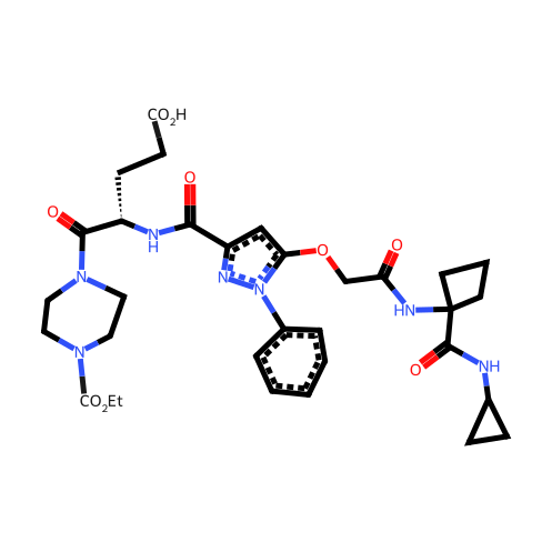 CCOC(=O)N1CCN(C(=O)[C@H](CCC(=O)O)NC(=O)c2cc(OCC(=O)NC3(C(=O)NC4CC4)CCC3)n(-c3ccccc3)n2)CC1